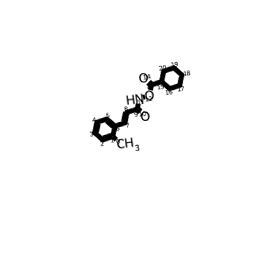 Cc1ccccc1C=CC(=O)NOC(=O)C1CCCCC1